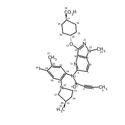 CC#CC(=O)N(c1ccc2c(n1)c(O[C@H]1CC[C@H](C(=O)O)CC1)nn2C)c1cc(C)c(I)cc1N1CC[C@@H](C)C1